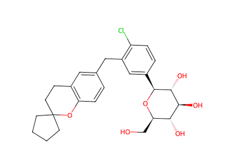 OC[C@H]1O[C@@H](c2ccc(Cl)c(Cc3ccc4c(c3)CCC3(CCCC3)O4)c2)[C@H](O)[C@@H](O)[C@@H]1O